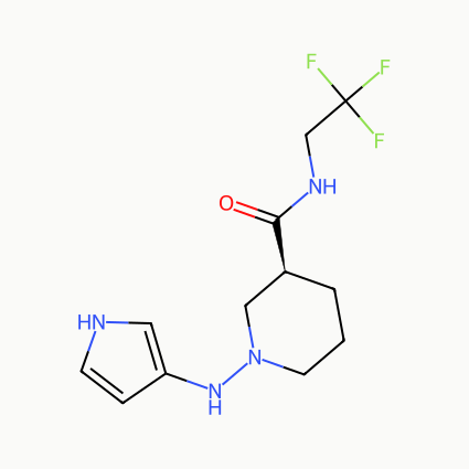 O=C(NCC(F)(F)F)[C@H]1CCCN(Nc2cc[nH]c2)C1